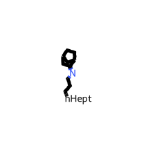 CCCCCCCCCCN=C1CC2CCC1C2